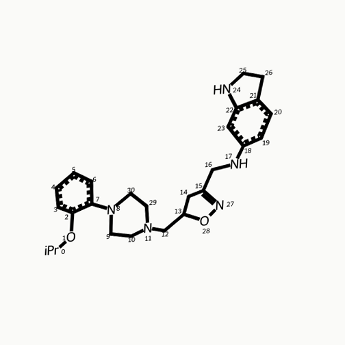 CC(C)Oc1ccccc1N1CCN(CC2CC(CNc3ccc4c(c3)NCC4)=NO2)CC1